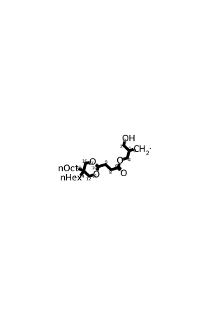 [CH2]C(CO)COC(=O)CCC1OCC(CCCCCC)(CCCCCCCC)CO1